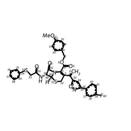 C=C(C1=C(C(=O)OCc2ccc(OC)cc2)N2C(=O)[C@@H](NC(=O)CSc3ccccc3)[C@H]2SC1)c1cc(-c2ccc(F)cc2)no1